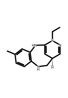 CCN1N=C[C@@H]2C=C1Nc1cc(C)ccc1NC2